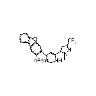 CCCCCc1cc2c(cc1C1=CCNC(C3CC(C(F)(F)F)=NN3)=C1)oc1ccccc12